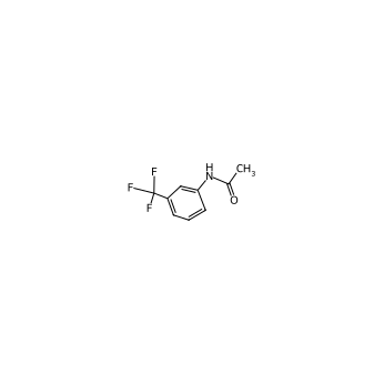 CC(=O)Nc1cccc(C(F)(F)F)c1